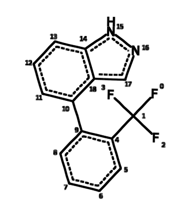 FC(F)(F)c1ccccc1-c1cccc2[nH]ncc12